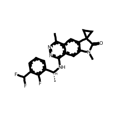 Cc1nnc(N[C@H](C)c2cccc(C(F)F)c2F)c2cc3c(cc12)C1(CC1)C(=O)N3C